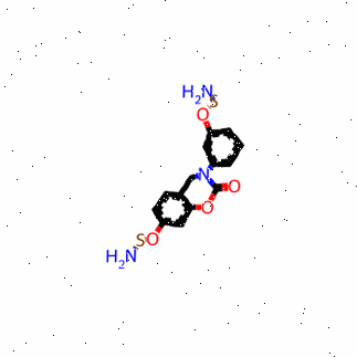 NSOc1cccc(N2Cc3ccc(OSN)cc3OC2=O)c1